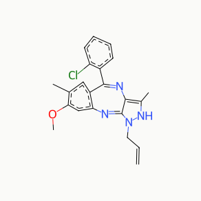 C=CCN1NC(C)=C2N=C(c3ccccc3Cl)c3cc(C)c(OC)cc3N=C21